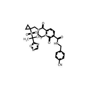 CC(C)(c1ncno1)S(=O)(=O)C1(CN2CCn3c(ccc(C(=O)NCc4ccc(C#N)cc4)c3=O)C2=O)CC1